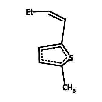 CC/C=C\c1ccc(C)s1